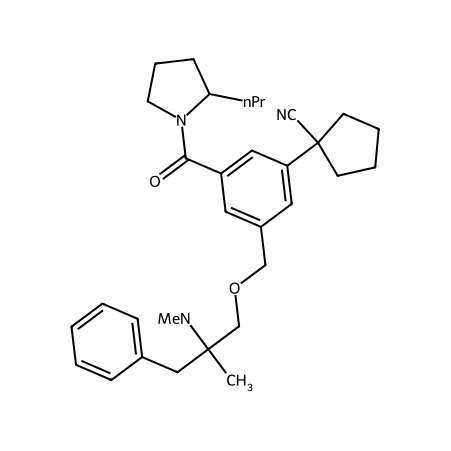 CCCC1CCCN1C(=O)c1cc(COCC(C)(Cc2ccccc2)NC)cc(C2(C#N)CCCC2)c1